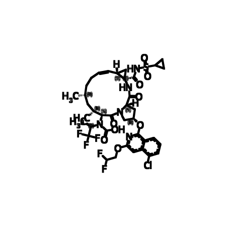 C[C@@H]1CCC=C[C@@H]2C[C@@]2(C(=O)NS(=O)(=O)C2CC2)NC(=O)[C@@H]2C[C@@H](Oc3nc(OCC(F)F)cc4c(Cl)cccc34)CN2C(=O)[C@@H](N(C(=O)O)[C@H](C)C(F)(F)F)[C@H](C)C1